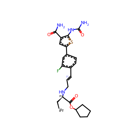 CC(C)C[C@@H](NC/C=C/c1ccc(-c2cc(C(N)=O)c(NC(N)=O)s2)cc1F)C(=O)OC1CCCC1